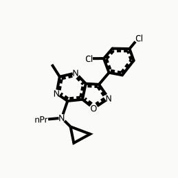 CCCN(c1nc(C)nc2c(-c3ccc(Cl)cc3Cl)noc12)C1CC1